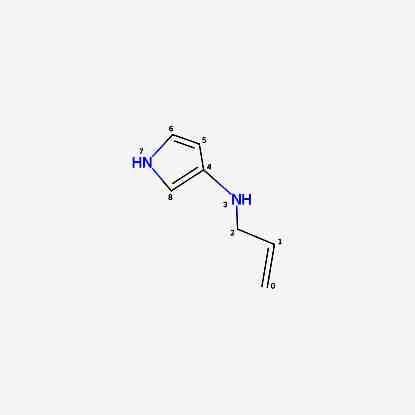 C=CCNc1cc[nH]c1